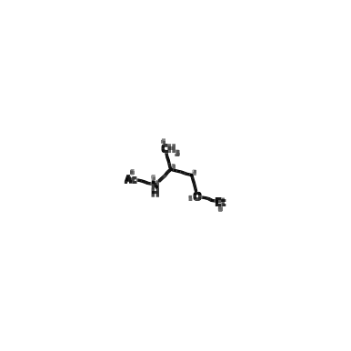 CCOCC(C)NC(C)=O